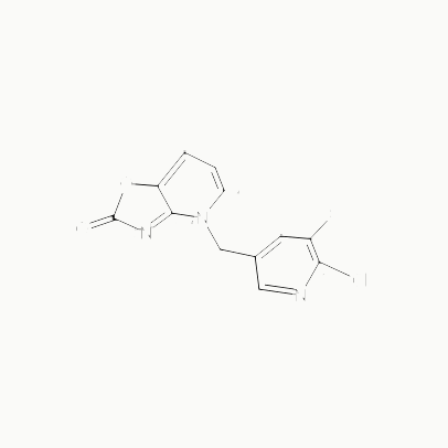 O=c1nc2n(Cc3cnc(Cl)c(Cl)c3)cccc-2o1